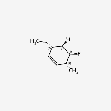 [3H][C@H]1[C@@H](F)[C@H](C)C=C[C@@H]1CC